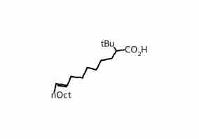 CCCCCCCCC=CCCCCCCC(C(=O)O)C(C)(C)C